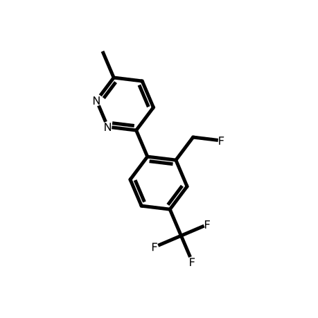 Cc1ccc(-c2ccc(C(F)(F)F)cc2CF)nn1